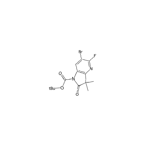 CC(C)(C)OC(=O)N1C(=O)C(C)(C)c2nc(F)c(Br)cc21